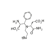 CC(C)(C)CCN(C(c1ccccc1)[C@H](N)C(=O)O)[C@@H](CC(=O)O)C(N)=O